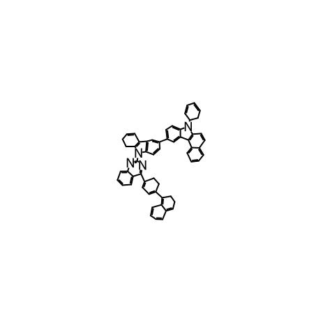 C1=CCC(n2c3ccc(-c4ccc5c(c4)c4c(n5-c5nc(C6=CC=C(C7=c8ccccc8=CCC7)CC6)c6ccccc6n5)CCC=C4)cc3c3c4ccccc4ccc32)C=C1